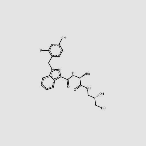 CC(C)(C)[C@H](NC(=O)c1nn(Cc2ccc(C#N)cc2F)c2ccccc12)C(=O)NC[C@H](O)CO